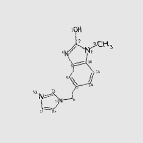 Cn1c(O)nc2cc(Cn3ccnc3)ccc21